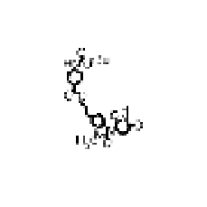 Cn1c(=O)n(C2CCC(=O)NC2=O)c2ccc(CCCOC(=O)C3CCC(NC(=O)OC(C)(C)C)CC3)cc21